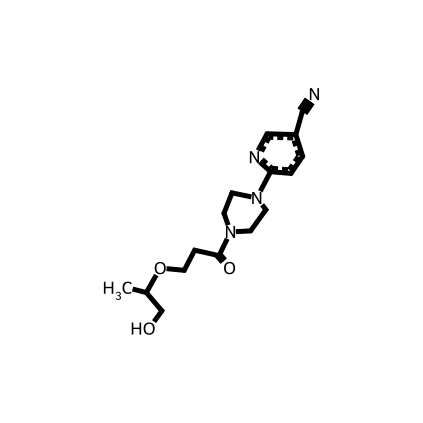 CC(CO)OCCC(=O)N1CCN(c2ccc(C#N)cn2)CC1